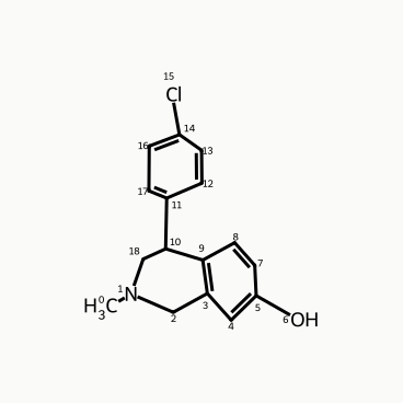 CN1Cc2cc(O)ccc2C(c2ccc(Cl)cc2)C1